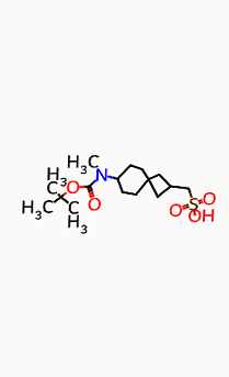 CN(C(=O)OC(C)(C)C)C1CCC2(CC1)CC(CS(=O)(=O)O)C2